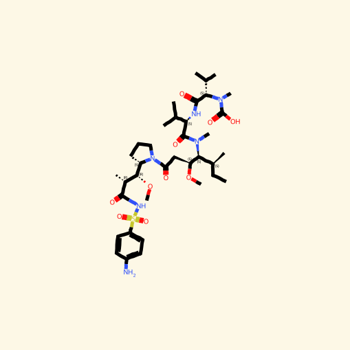 CC[C@H](C)[C@@H]([C@H](CC(=O)N1CCC[C@H]1[C@H](OC)[C@@H](C)C(=O)NS(=O)(=O)c1ccc(N)cc1)OC)N(C)C(=O)[C@@H](NC(=O)[C@H](C(C)C)N(C)C(=O)O)C(C)C